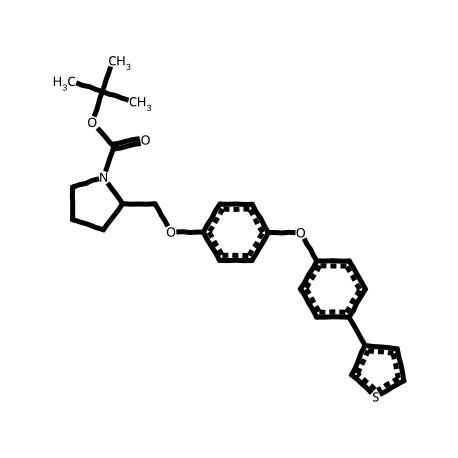 CC(C)(C)OC(=O)N1CCCC1COc1ccc(Oc2ccc(-c3ccsc3)cc2)cc1